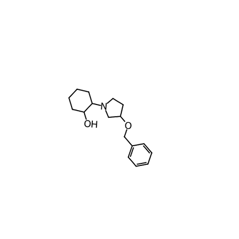 OC1CCCCC1N1CCC(OCc2ccccc2)C1